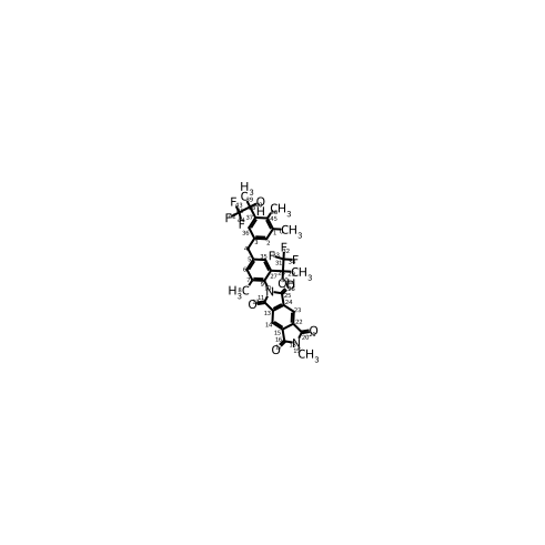 Cc1cc(Cc2cc(C)c(-n3c(=O)c4cc5c(=O)n(C)c(=O)c5cc4c3=O)c(C(C)(O)C(F)(F)F)c2)cc(C(C)(O)C(F)(F)F)c1C